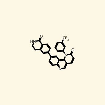 O=C1NCCc2cc(-c3ccc4ncc5ccc(=O)n(-c6cccc(C(F)(F)F)c6)c5c4c3)ccc21